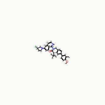 COc1ccc(-c2ccc(CN(C(=O)CC(C)(C)C)c3nccc4cc(N5CCC(F)C5)ccc34)cc2)cc1C